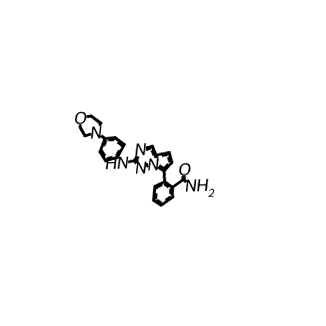 NC(=O)c1ccccc1-c1ccc2cnc(Nc3ccc(N4CCOCC4)cc3)nn12